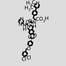 Cc1nccc(-c2ccc(C[C@H](NC(=O)[C@@H]3Cc4cc5c(cc4CN3C(=O)Nc3cnccn3)O[C@@H](c3ccc(OCc4ccc(Cl)c(Cl)c4)cc3)CO5)C(=O)O)cc2)c1C